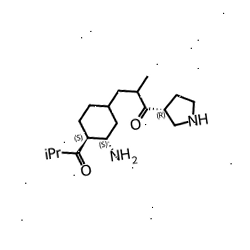 CC(C)C(=O)[C@H]1CCC(CC(C)C(=O)[C@@H]2CCNC2)C[C@@H]1N